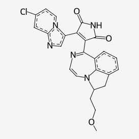 COCCC1Cc2cccc3c2N1C=CN=C3C1=C(c2cnc3cc(Cl)ccn23)C(=O)NC1=O